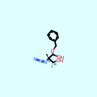 C[C@@H](O)[C@](C)(N=[N+]=[N-])C(O)OCc1ccccc1